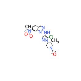 C[C@@H]1CN(C2COC2)CC[C@@H]1n1ncc(Nc2ncc3ccc(N4C(=O)OC[C@@H]4C)cc3n2)c1Cl